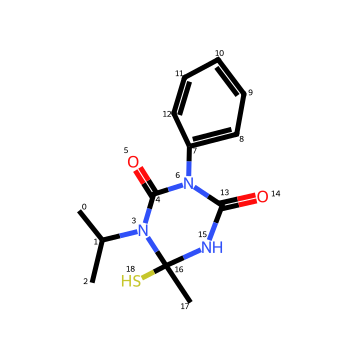 CC(C)N1C(=O)N(c2ccccc2)C(=O)NC1(C)S